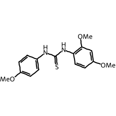 COc1ccc(NC(=S)Nc2ccc(OC)cc2OC)cc1